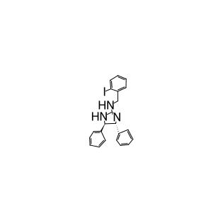 Ic1ccccc1CNC1=N[C@H](c2ccccc2)[C@@H](c2ccccc2)N1